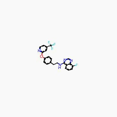 Fc1cccc2c(NCCc3ccc(Oc4cc(C(F)(F)F)ccn4)cc3)ncnc12